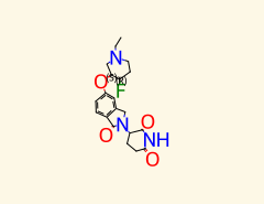 CCN1CC[C@@H](F)[C@@H](Oc2ccc3c(c2)CN(C2CCC(=O)NC2=O)C3=O)C1